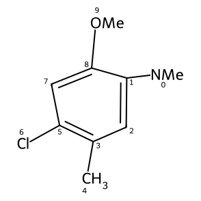 CNc1cc(C)c(Cl)cc1OC